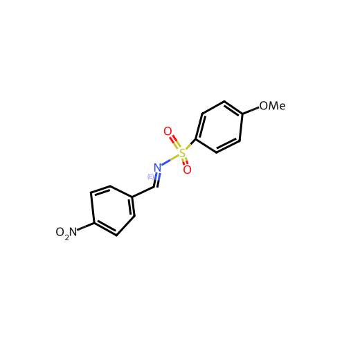 COc1ccc(S(=O)(=O)/N=C/c2ccc([N+](=O)[O-])cc2)cc1